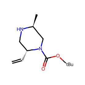 C=C[C@@H]1CN[C@@H](C)CN1C(=O)OC(C)(C)C